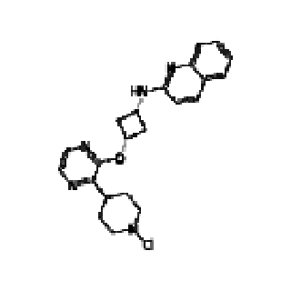 ClN1CCC(c2nccnc2O[C@H]2C[C@@H](Nc3ccc4ccccc4n3)C2)CC1